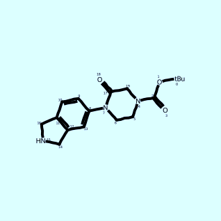 CC(C)(C)OC(=O)N1CCN(c2ccc3c(c2)CNC3)C(=O)C1